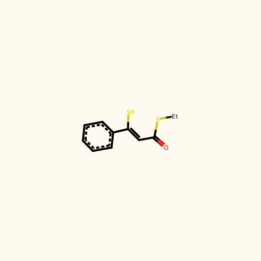 CCSC(=O)/C=C(\S)c1ccccc1